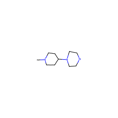 CN1CCC(N2CC[N]CC2)CC1